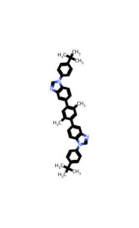 Cc1cc(-c2ccc3c(c2)ncn3-c2ccc(C(C)(C)C)cc2)c(C)cc1-c1ccc2c(c1)ncn2-c1ccc(C(C)(C)C)cc1